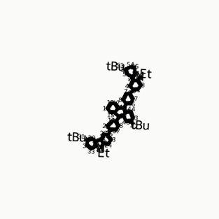 CCn1c2ccc(-c3ccc(-c4c5ccccc5c(-c5ccc(-c6ccc7c(c6)c6cc(C(C)(C)C)ccc6n7CC)cc5)c5cc(C(C)(C)C)ccc45)cc3)cc2c2cc(C(C)(C)C)ccc21